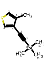 Cc1cscc1C#C[Si](C)(C)C